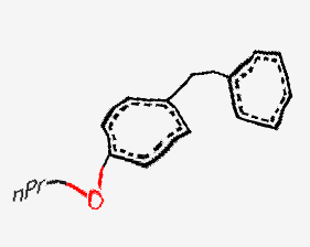 [CH2]CCOc1ccc(Cc2ccccc2)cc1